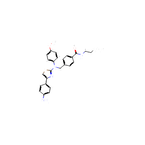 Nc1ccc(-c2csc(N(Cc3ccc(C(=O)NCCC(=O)O)cc3)c3ccc(OC(F)(F)F)cc3)n2)cc1